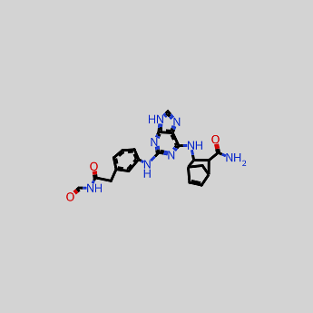 NC(=O)C1C2C=CC(C2)C1Nc1nc(Nc2cccc(CC(=O)NC=O)c2)nc2[nH]cnc12